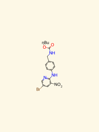 CCCCOC(=O)NCc1ccc(Nc2ncc(Br)cc2[N+](=O)[O-])cc1